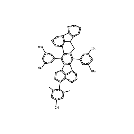 Cc1cc(C#N)cc(C)c1-c1ccc2c3c(cccc13)-c1c(-c3cc(C(C)(C)C)cc(C(C)(C)C)c3)c3c(c(-c4cc(C(C)(C)C)cc(C(C)(C)C)c4)c1-2)-c1cccc2c1C(C3)c1ccccc1-2